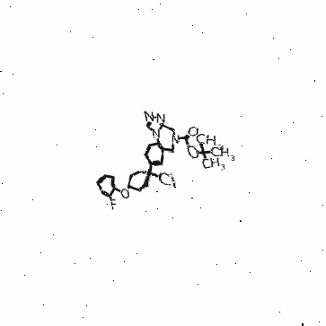 CC(C)(C)OC(=O)N1Cc2cc(C3(Cl)CCC(Oc4ccccc4F)CC3)ccc2-n2cnnc2C1